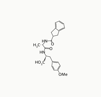 COc1ccc(C[C@H](NC(=O)[C@H](C)NC(=O)C2Cc3ccccc3C2)C(=O)O)cc1